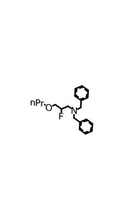 CCCOCC(F)CN(Cc1ccccc1)Cc1ccccc1